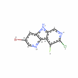 Fc1c(Cl)ncc2[nH]c3cc(Br)cnc3c12